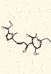 CCc1cc(O)c(C(=O)/C=C/c2ccc(C(=O)OC)n2C)c(=O)n1C